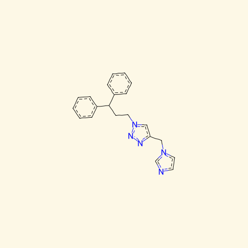 c1ccc(C(CCn2cc(Cn3ccnc3)nn2)c2ccccc2)cc1